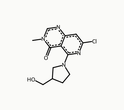 Cn1cnc2cc(Cl)nc(N3CCC(CO)C3)c2c1=O